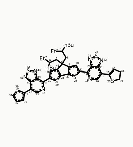 CCCCC(CC)CC1(CC(CC)CCCC)c2cc(-c3ncc(C4=CCCS4)c4nsnc34)sc2-c2sc(-c3ncc(-c4cccs4)c4nsnc34)cc21